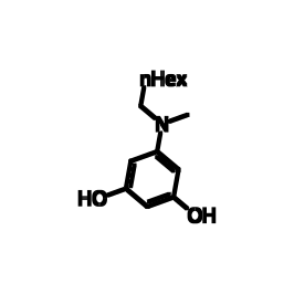 CCCCCCCN(C)c1cc(O)cc(O)c1